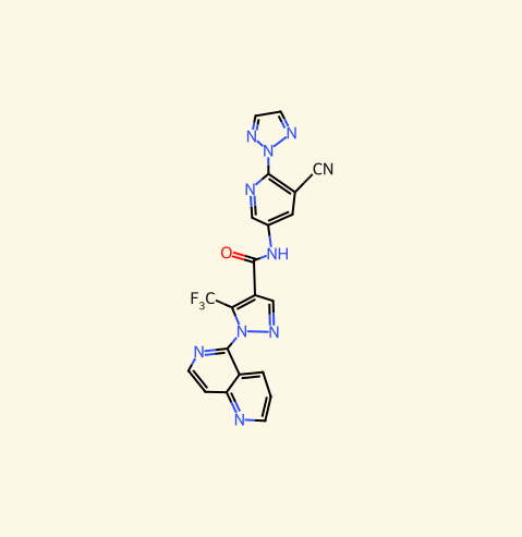 N#Cc1cc(NC(=O)c2cnn(-c3nccc4ncccc34)c2C(F)(F)F)cnc1-n1nccn1